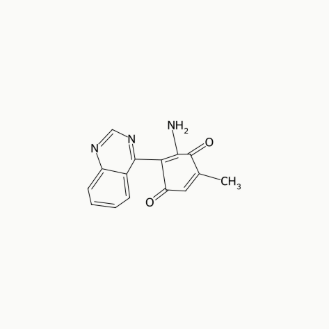 CC1=CC(=O)C(c2ncnc3ccccc23)=C(N)C1=O